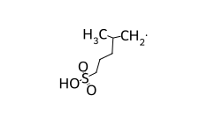 [CH2]C(C)CCCS(=O)(=O)O